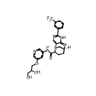 O=C(Nc1cncc(OC[C@@H](O)CO)c1)C1CC[C@H]2CN1C1=CN=C(c3cccc(C(F)(F)F)c3)NC1=N2